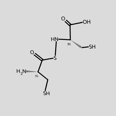 N[C@@H](CS)C(=O)SN[C@@H](CS)C(=O)O